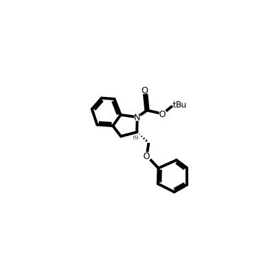 CC(C)(C)OC(=O)N1c2ccccc2C[C@H]1COc1ccccc1